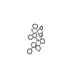 c1ccc(-c2ccc(N(c3ccccc3-c3ccccc3)c3cc4c(c5ccccc35)Sc3ccccc3C43c4ccccc4-c4ccccc43)cc2)cc1